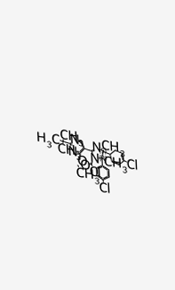 CCOc1nc(C(C)(C)C)ncc1C1=N[C@@](C)(C2C=CC(Cl)=CC2)[C@@](C)(c2ccc(Cl)cc2)N1C(=O)Cl